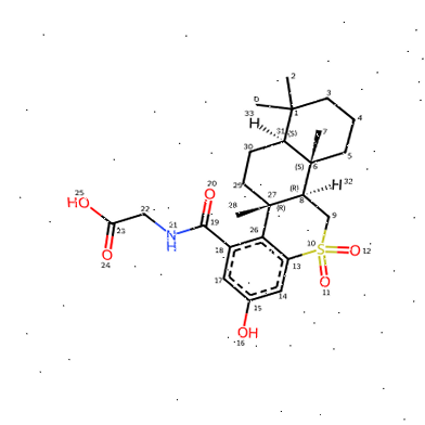 CC1(C)CCC[C@]2(C)[C@H]3CS(=O)(=O)c4cc(O)cc(C(=O)NCC(=O)O)c4[C@]3(C)CC[C@@H]12